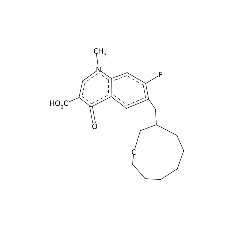 Cn1cc(C(=O)O)c(=O)c2cc(CC3CCCCCCCC3)c(F)cc21